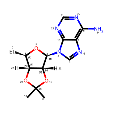 CC[C@H]1O[C@@H](n2cnc3c(N)ncnc32)[C@@H]2OC(C)(C)O[C@@H]21